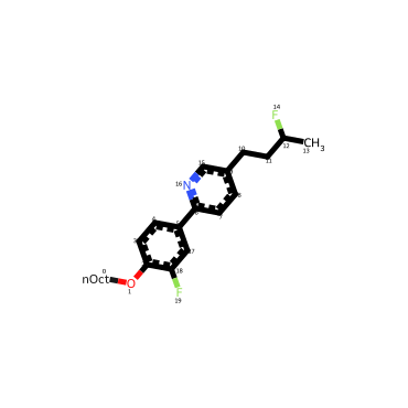 CCCCCCCCOc1ccc(-c2ccc(CCC(C)F)cn2)cc1F